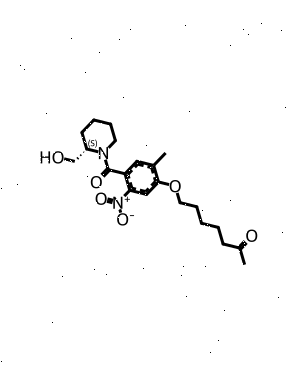 CC(=O)CCCCCOc1cc([N+](=O)[O-])c(C(=O)N2CCCC[C@H]2CO)cc1C